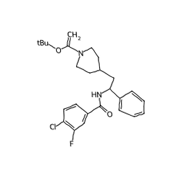 C=C(OC(C)(C)C)N1CCC(CC(NC(=O)c2ccc(Cl)c(F)c2)c2ccccc2)CC1